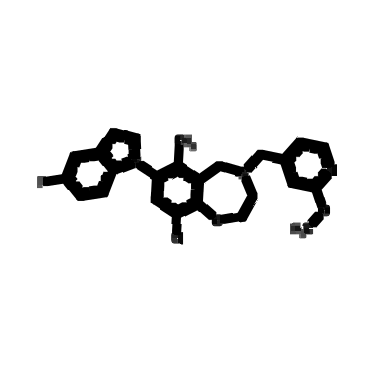 COc1cc(CN2CCOc3c(Cl)cc(-n4ccc5cc(F)ccc54)c(C)c3C2)ccn1